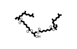 C=CC(C)(CCC=C(C)CCC=C(C)C)OC(=O)CCCCCC(=O)OCC(CO)COC(=O)CCCCCC(=O)OC(C)(C=C)CCC=C(C)CCC=C(C)C